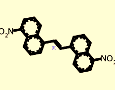 O=[N+]([O-])c1cccc2c(/C=C/c3cccc4c([N+](=O)[O-])cccc34)cccc12